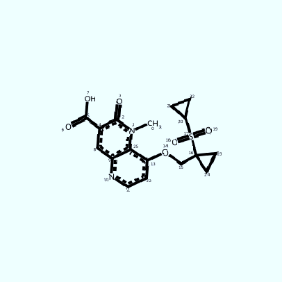 Cn1c(=O)c(C(=O)O)cc2nccc(OCC3(S(=O)(=O)C4CC4)CC3)c21